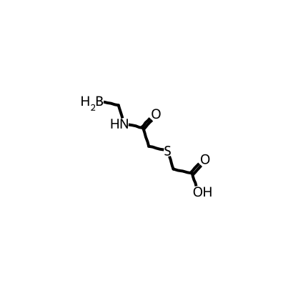 BCNC(=O)CSCC(=O)O